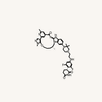 Cc1cc2cc(n1)-c1cnn(C)c1OCCC[C@@H](C)CN1/C(=N/C2=O)Nc2ccc(N3CCN(CCNc4cc(F)c([C@H]5CCC(=O)NC5=O)c(F)c4)CC3(C)C)cc21